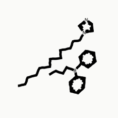 CCCCB(c1ccccc1)c1ccccc1.CCCCCCCCCCCCn1ccnc1